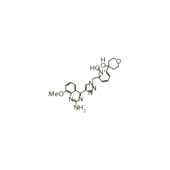 COc1cccc2c(-c3cn(Cc4cccc(C5(O)CCOCC5)[n+]4O)nn3)nc(N)nc12